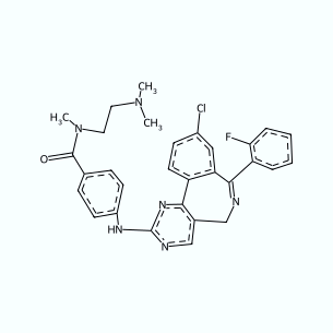 CN(C)CCN(C)C(=O)c1ccc(Nc2ncc3c(n2)-c2ccc(Cl)cc2C(c2ccccc2F)=NC3)cc1